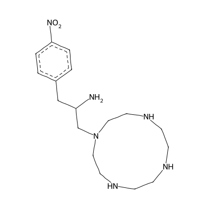 NC(Cc1ccc([N+](=O)[O-])cc1)CN1CCNCCNCCNCC1